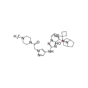 CN1CCN(C(=O)Cn2cc(Nc3nc4c(N5CC6CCC(C5)N6C(O)C5(C#N)CCC5)cccn4n3)cn2)CC1